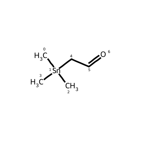 [CH3][Sn]([CH3])([CH3])[CH2]C=O